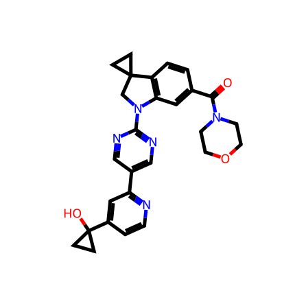 O=C(c1ccc2c(c1)N(c1ncc(-c3cc(C4(O)CC4)ccn3)cn1)CC21CC1)N1CCOCC1